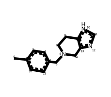 Cc1ccc(CN2CCc3[nH]cnc3C2)cc1